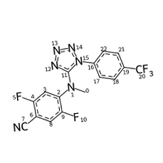 CN(c1cc(F)c(C#N)cc1F)c1nnnn1-c1ccc(C(F)(F)F)cc1